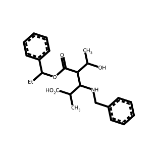 CCC(OC(=O)C(C(C)O)C(NCc1ccccc1)C(C)C(=O)O)c1ccccc1